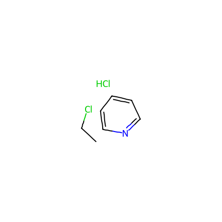 CCCl.Cl.c1ccncc1